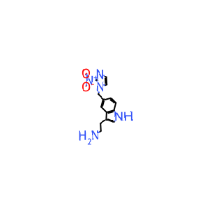 NCCc1c[nH]c2ccc(Cn3ccnc3[N+](=O)[O-])cc12